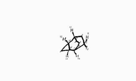 I[C@H]1C[C@@H]2CCC[C@H]1[C@@H]1C[C@H]21